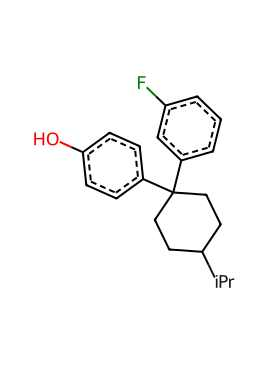 CC(C)C1CCC(c2ccc(O)cc2)(c2cccc(F)c2)CC1